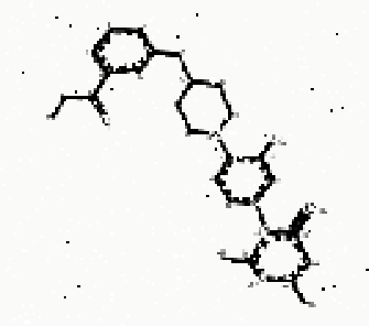 CCC(=O)c1cccc(CC2CCN(c3ccc(-n4c(C)nc(C)cc4=O)cc3Cl)CC2)c1